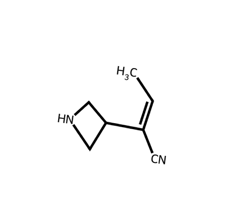 C/C=C(/C#N)C1CNC1